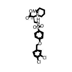 COC(=O)[C@H](CNS(=O)(=O)c1ccc(OCc2ccc(Cl)c(Cl)c2)cc1)N1CCCCC1